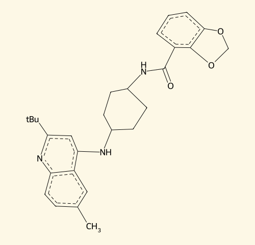 Cc1ccc2nc(C(C)(C)C)cc(NC3CCC(NC(=O)c4cccc5c4OCO5)CC3)c2c1